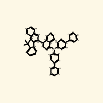 CC1(C)c2ccccc2-c2c(-c3ccc(N(c4ccc(-c5ccccc5)cc4)c4ccc(-c5ccccc5)cc4)c4ccccc34)cc3ccccc3c21